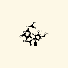 C#C[C@@]1(N2c3nc(NC(=O)C(C)C)[nH]c(=O)c3NC2C)O[C@H](CO)[C@@H](O)[C@H]1F